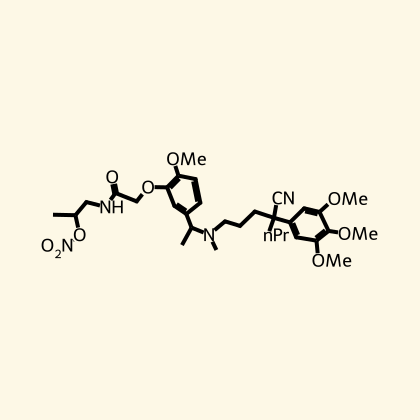 CCCC(C#N)(CCCN(C)C(C)c1ccc(OC)c(OCC(=O)NCC(C)O[N+](=O)[O-])c1)c1cc(OC)c(OC)c(OC)c1